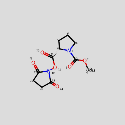 CCCCOC(=O)N1CCC[C@H]1C(=O)ON1C(=O)CCC1=O